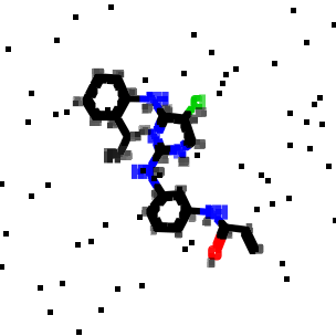 C=CC(=O)Nc1cccc(Nc2ncc(Cl)c(Nc3ccccc3CC(C)C)n2)c1